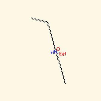 CCCCCCCC/C=C\CCCCCCCCCCCCCC(=O)N[C@@H](CO)C/C=C/CCCCCCCCCCCCC